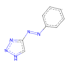 [c]1ccc(N=Nc2c[nH]nn2)cc1